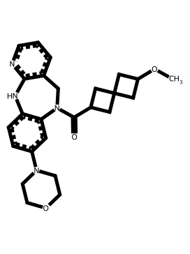 COC1CC2(C1)CC(C(=O)N1Cc3cccnc3Nc3ccc(N4CCOCC4)cc31)C2